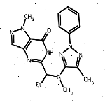 CCC(c1nc2cnn(C)c2c(=O)[nH]1)N(C)c1nn(-c2ccccc2)nc1C